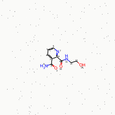 NC(=O)c1cccnc1C(=O)NCCO